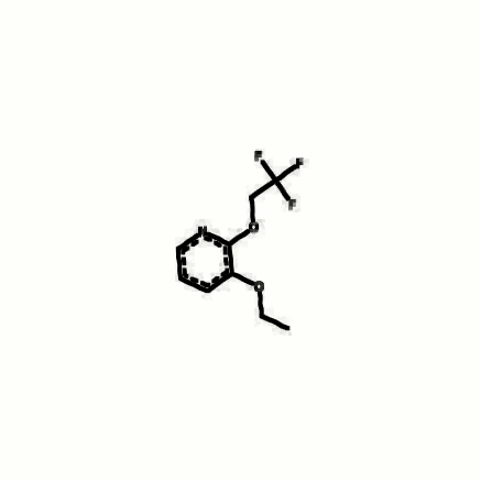 CCOc1cccnc1OCC(F)(F)F